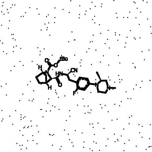 C[C@H]1CN(C)CCN1c1ccc(C[C@@H](C#N)NC(=O)[C@@H]2[C@H]3CC[C@H](C3)N2C(=O)OC(C)(C)C)c(F)c1